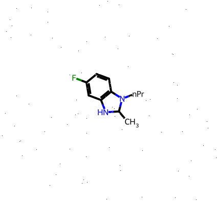 CCCN1c2ccc(F)cc2NC1C